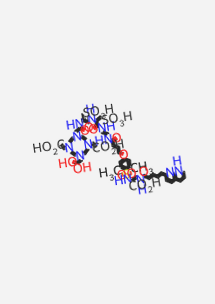 Cc1cc(OCCCC(=O)NCCNC(=O)C(CS(=O)(=O)O)NC(=O)[C@H](CS(=O)(=O)O)NC(=O)CN2CCN(CC(=O)O)CCN(CC(O)O)CCN(CC(=O)O)CC2)cc(C)c1S(=O)(=O)NC(CNC(=O)CCCCc1ccc2c(n1)NCCC2)C(=O)O